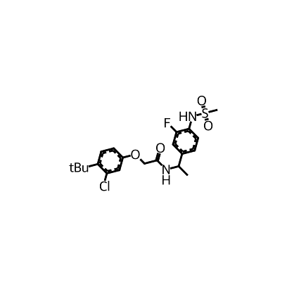 CC(NC(=O)COc1ccc(C(C)(C)C)c(Cl)c1)c1ccc(NS(C)(=O)=O)c(F)c1